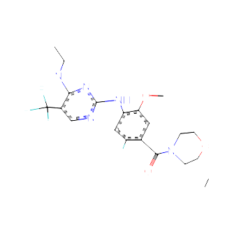 CCNc1nc(Nc2cc(F)c(C(=O)N3C[C@@H](CC)O[C@@H](C)C3)cc2OC)ncc1C(F)(F)F